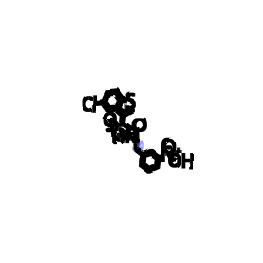 CP(=O)(O)C(C(=O)N/C=C/c1cccc([N+](=O)O)c1)c1csc2ccc(Cl)cc12